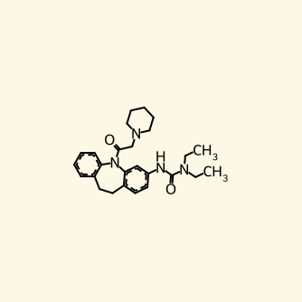 CCN(CC)C(=O)Nc1ccc2c(c1)N(C(=O)CN1CCCCC1)c1ccccc1CC2